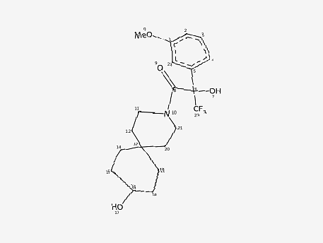 COc1cccc(C(O)(C(=O)N2CCC3(CCC(O)CC3)CC2)C(F)(F)F)c1